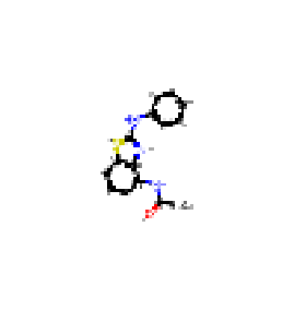 CC(C)(C)C(=O)Nc1cccc2sc(Nc3ccccc3)nc12